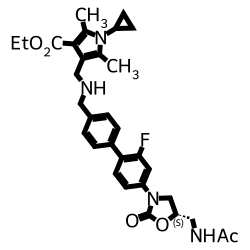 CCOC(=O)c1c(CNCc2ccc(-c3ccc(N4C[C@H](CNC(C)=O)OC4=O)cc3F)cc2)c(C)n(C2CC2)c1C